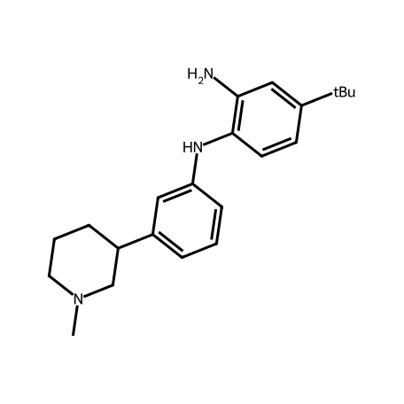 CN1CCCC(c2cccc(Nc3ccc(C(C)(C)C)cc3N)c2)C1